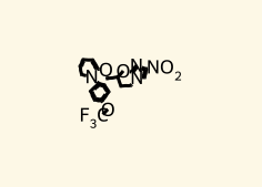 O=[N+]([O-])c1cn2c(n1)OC(COC1=CC=CCN1c1ccc(OC(F)(F)F)cc1)CC2